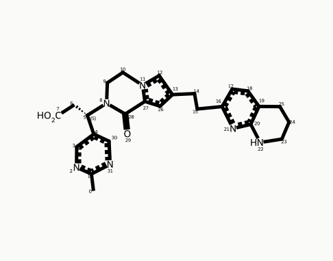 Cc1ncc([C@H](CC(=O)O)N2CCn3cc(CCc4ccc5c(n4)NCCC5)cc3C2=O)cn1